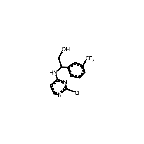 OCC(Nc1ccnc(Cl)n1)c1cccc(C(F)(F)F)c1